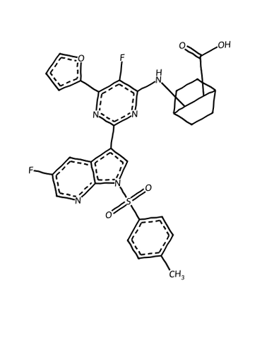 Cc1ccc(S(=O)(=O)n2cc(-c3nc(NC4C5CCC(CC5)C4C(=O)O)c(F)c(-c4ccco4)n3)c3cc(F)cnc32)cc1